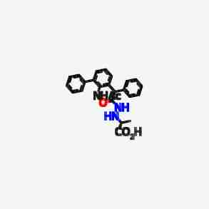 CC(=O)Nc1c(-c2ccccc2)cccc1C(C(=O)NN[C@@H](C)C(=O)O)c1ccccc1